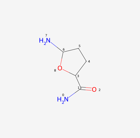 NC(=O)C1CCC(N)O1